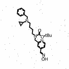 CC(C)(C)OC(=O)N(CCCCN(Cc1ccccc1)C1CC1)Cc1cc(/C=N/O)ccn1